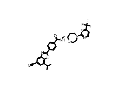 CC(C)c1cc(C#N)cc2nc(-c3ccc(C(=O)NC[C@@H]4CCN(c5nccc(C(F)(F)F)n5)CCO4)cc3)oc12